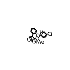 COC(=O)C(=CO)c1ccccc1Oc1ccc(Cl)cn1